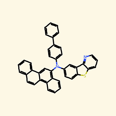 c1ccc(-c2ccc(N(c3ccc4sc5cccnc5c4c3)c3cc4c5ccccc5ccc4c4ccccc34)cc2)cc1